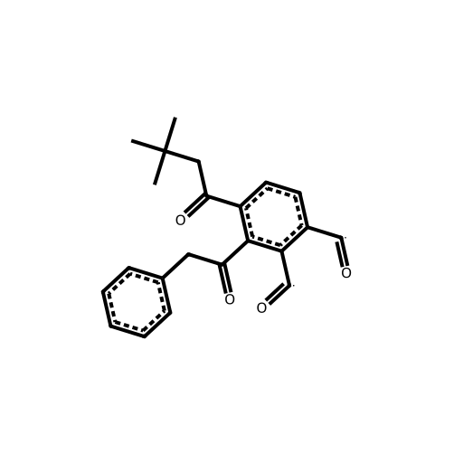 CC(C)(C)CC(=O)c1ccc([C]=O)c([C]=O)c1C(=O)Cc1ccccc1